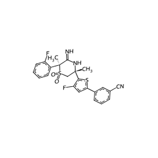 C[C@@]1(c2sc(-c3cccc(C#N)c3)cc2F)CS(=O)(=O)[C@@](C)(c2ccccc2F)C(=N)N1